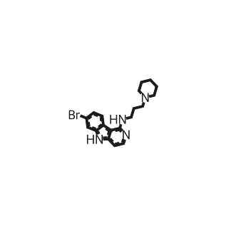 Brc1ccc2c(c1)[nH]c1ccnc(NCCCN3CCCCC3)c12